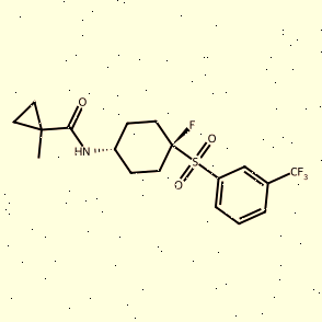 CC1(C(=O)N[C@H]2CC[C@@](F)(S(=O)(=O)c3cccc(C(F)(F)F)c3)CC2)CC1